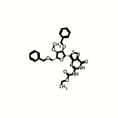 CCOC(=O)Nc1nc2c([C@@H]3O[C@H](COCc4ccccc4)[C@@H](OC)[C@H]3OCc3ccccc3)snc2c(=O)[nH]1